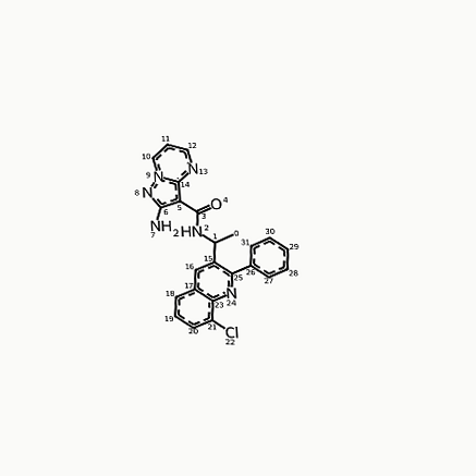 CC(NC(=O)c1c(N)nn2cccnc12)c1cc2cccc(Cl)c2nc1-c1ccccc1